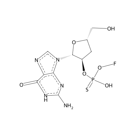 Nc1nc2c(ncn2[C@@H]2O[C@H](CO)C[C@H]2OP(O)(=S)OF)c(=O)[nH]1